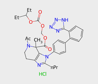 CCCc1nc2c(n1-c1ccc(-c3ccccc3-c3nnn[nH]3)cc1)C(C)(C(=O)OCOC(=O)OC(CC)CC)N(C(C)=O)CC2.Cl